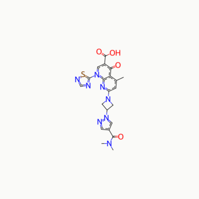 Cc1cc(N2CC(n3cc(C(=O)N(C)C)cn3)C2)nc2c1c(=O)c(C(=O)O)cn2-c1ncns1